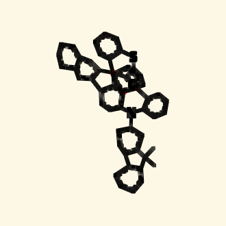 CC1(C)c2ccccc2-c2ccc(N(c3ccc4c(c3)C3(c5ccccc5Sc5ccccc53)c3cc5ccccc5cc3-4)c3ccccc3-c3ccccc3)cc21